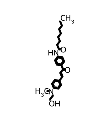 CCCCCCCCC(=O)Nc1ccc(C(=O)/C=C/c2ccc(N(C)CCO)cc2)cc1